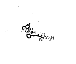 C=N/C(C(=O)O)=C(Cl)\C=C(/C)C#Cc1ccccc1NS(=O)(=O)c1cc(C)cc2cccnc12